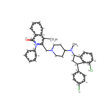 CN(C1CCN(Cc2c(C(=O)O)c3ccccc3c(=O)n2-c2ccccc2)CC1)C1CC(c2ccc(F)cc2)c2c(Cl)cccc21